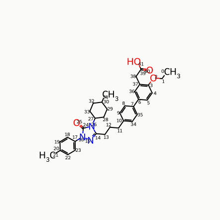 CCOc1ccc(-c2ccc(CCCc3nn(-c4ccc(C)cc4)c(=O)n3C3CCC(C)CC3)cc2)cc1CC(=O)O